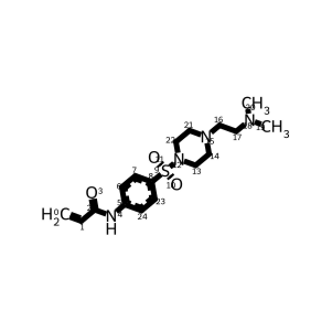 C=CC(=O)Nc1ccc(S(=O)(=O)N2CCN(CCN(C)C)CC2)cc1